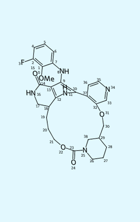 COc1c(F)cccc1Nc1c2[nH]c3c1C(=O)NCC3CCCOC(=O)N1CCCC(COc3cnccc3-2)C1